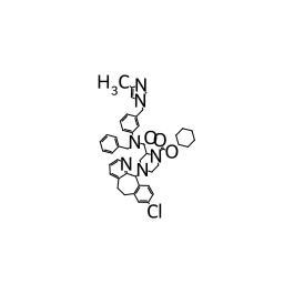 Cc1cn(Cc2cccc(N(Cc3ccccc3)C(=O)C3CN(C4c5ccc(Cl)cc5CCc5cccnc54)CCN3C(=O)OC3CCCCC3)c2)cn1